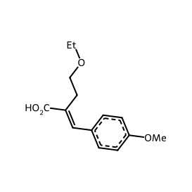 CCOCC/C(=C\c1ccc(OC)cc1)C(=O)O